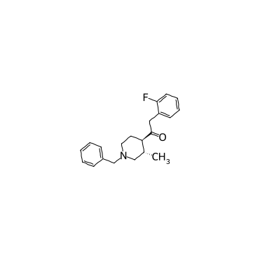 C[C@@H]1CN(Cc2ccccc2)CC[C@H]1C(=O)Cc1ccccc1F